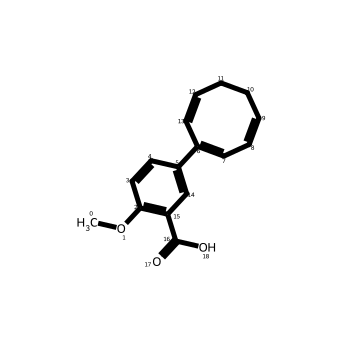 COc1ccc(C2=C/C=C\CC/C=C\2)cc1C(=O)O